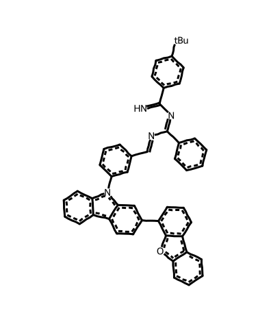 CC(C)(C)c1ccc(C(=N)/N=C(\N=C\c2cccc(-n3c4ccccc4c4ccc(-c5cccc6c5oc5ccccc56)cc43)c2)c2ccccc2)cc1